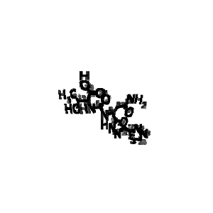 CC(O)[C@H](NC(=O)N[C@@H](CC(N)=O)c1nnc(-c2nncs2)o1)C(=O)O